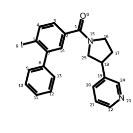 O=C(c1ccc(I)c(-c2ccccc2)c1)N1CCC(c2cccnc2)C1